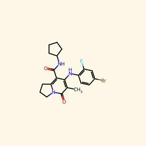 Cc1c(Nc2ccc(Br)cc2F)c(C(=O)NC2CCCC2)c2n(c1=O)CCC2